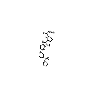 CNC(=O)c1cccc(-c2nc3ccc(N4CCC[C@@H](C(=O)N5CCCC5)C4)nc3[nH]2)n1